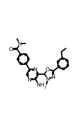 CCc1cccc(C2=NN(C)C(c3nc(-c4ccc(C(=O)N(C)C)cc4)cnc3N)O2)c1